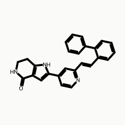 O=C1NCCc2[nH]c(-c3ccnc(C=Cc4ccccc4-c4ccccc4)c3)cc21